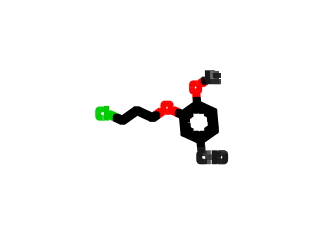 CCOc1ccc(C=O)cc1OCCCCl